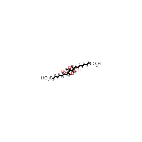 O=C(O)CCCCCCC[C@@]1(O)CO[C@H]2[C@@H]1OC[C@@]2(O)CCCCCCCC(=O)O